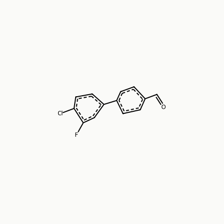 O=Cc1ccc(-c2ccc(Cl)c(F)c2)cc1